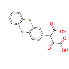 O=C(O)C(=O)C(C(=O)O)c1ccc2c(c1)Sc1ccccc1S2